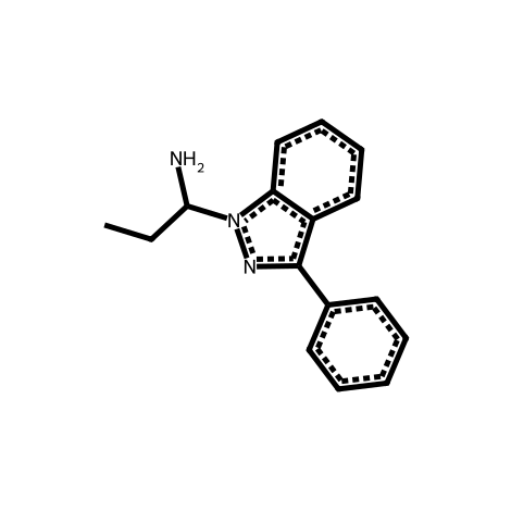 CCC(N)n1nc(-c2ccccc2)c2ccccc21